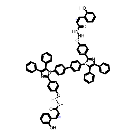 O=C(/C=C\c1ccccc1O)NNOc1ccc(-c2nc(-c3ccccc3)c(-c3ccccc3)n2-c2ccc(-c3ccc(-n4c(-c5ccc(ONNC(=O)/C=C\c6ccccc6O)cc5)nc(-c5ccccc5)c4-c4ccccc4)cc3)cc2)cc1